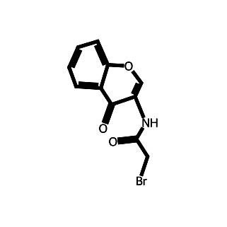 O=C(CBr)Nc1coc2ccccc2c1=O